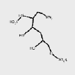 NCC(NS(=O)(=O)O)C(O)CC(O)COS(=O)(=O)O